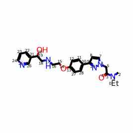 CCN(C)C(=O)Cn1ccc(-c2ccc(OCCNCC(O)c3cccnc3)cc2)n1